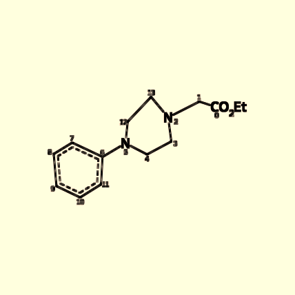 CCOC(=O)CN1CCN(c2ccccc2)CC1